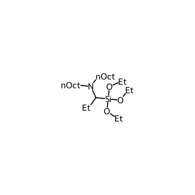 CCCCCCCCN(CCCCCCCC)C(CC)[Si](OCC)(OCC)OCC